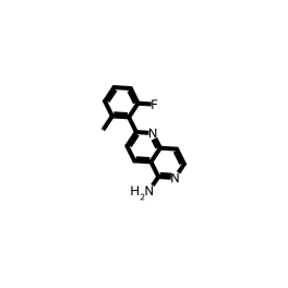 Cc1cccc(F)c1-c1ccc2c(N)nccc2n1